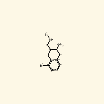 CCNCC1Cc2c(Br)cccc2CC1N